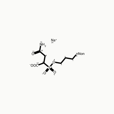 CCCCCCCCCCCCOS(=O)(=O)C(CC(N)=O)C(=O)[O-].[Na+]